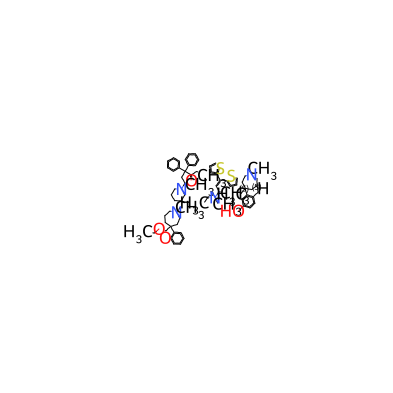 CCC(=O)C(CC(C)N1CCCCC1)(c1ccccc1)c1ccccc1.CCN(C)C(C)C=C(c1cccs1)c1cccs1.CCOC(=O)C1(c2ccccc2)CCCN(C)CC1.CN1CC[C@]2(C)C[C@@H](Cc3ccc(O)cc32)C1